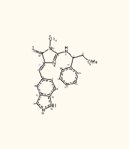 COCC(NC1=N/C(=C\c2ccc3[nH]ncc3c2)C(=O)N1C)c1ccccc1